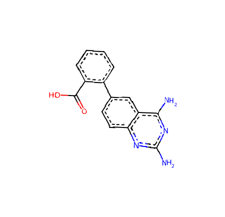 Nc1nc(N)c2cc(-c3ccccc3C(=O)O)ccc2n1